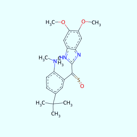 COc1cc2nc(C(=S=O)c3cc(C(C)(C)C)ccc3N(C)C)[nH]c2cc1OC